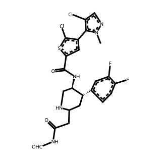 Cn1ncc(Cl)c1-c1cc(C(=O)N[C@@H]2CNC(CC(=O)NC=O)C[C@H]2c2ccc(F)c(F)c2)sc1Cl